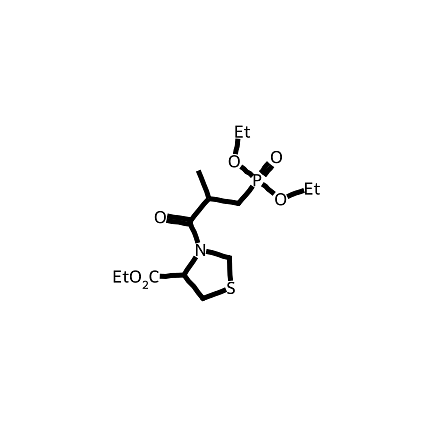 CCOC(=O)C1CSCN1C(=O)C(C)CP(=O)(OCC)OCC